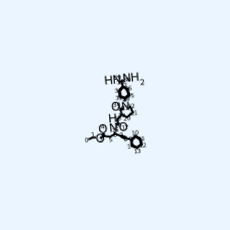 CCOC(=O)CC(C#Cc1ccccc1)NC(=O)CC1CCCN(c2ccc(C(=N)N)cc2)C1=O